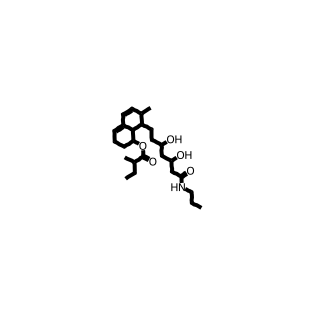 CCCNC(=O)CC(O)CC(O)CCC1C(C)C=CC2=CCCC(OC(=O)C(C)CC)C21